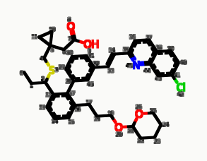 CCC(SCC1(CC(=O)O)CC1)c1cccc(CCCOC2CCCCO2)c1-c1cccc(C=Cc2ccc3ccc(Cl)cc3n2)c1